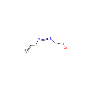 C=CCN=C=NCCO